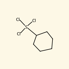 ClS(Cl)(Cl)C1CCCCC1